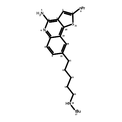 CCCc1cc2c(N)nc3ccc(CCCCCNC(C)(C)C)cc3c2s1